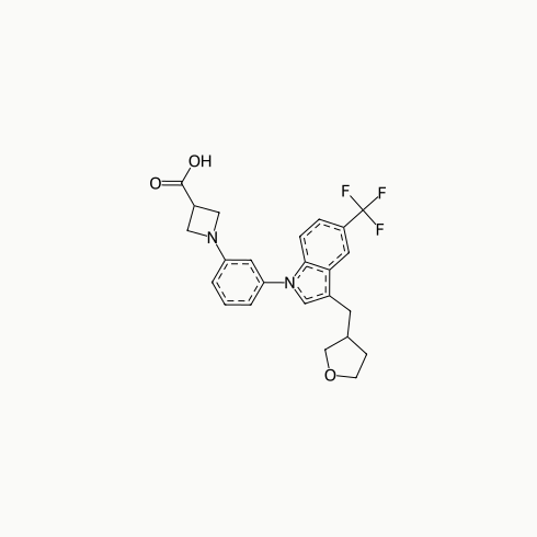 O=C(O)C1CN(c2cccc(-n3cc(CC4CCOC4)c4cc(C(F)(F)F)ccc43)c2)C1